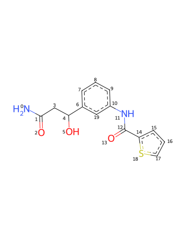 NC(=O)CC(O)c1cccc(NC(=O)c2cccs2)c1